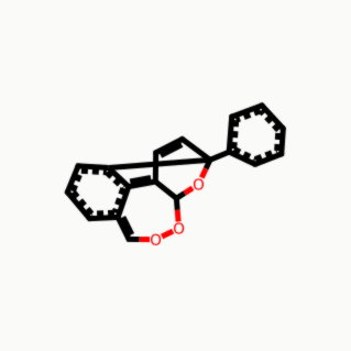 C1=CC2(c3ccccc3)OC3OOC=c4cccc2c4=C13